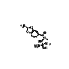 BC1Oc2ccc(C(=O)[C@@H](C)NC(B)(B)O)cc2O1